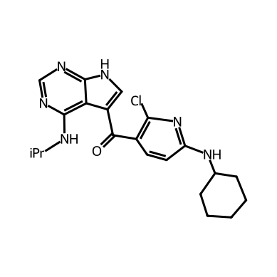 CC(C)Nc1ncnc2[nH]cc(C(=O)c3ccc(NC4CCCCC4)nc3Cl)c12